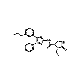 CCCc1cccc(-c2cc(NC(=O)[C@H]3CNC(=O)N3CC)nn2-c2ccccc2)c1